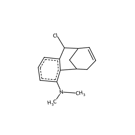 CN(C)c1cccc2c1C1CC=CC(C1)C2Cl